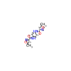 Cc1cc(C(=O)Nc2ccc(NC(=O)c3cc(C)on3)cc2)no1